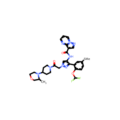 CSc1ccc(OC(F)F)c(-c2nn(CC(=O)N3CCC(N4CCOCC4C)CC3)cc2NC(=O)c2cnn3cccnc23)c1